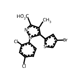 Cc1c(C(=O)O)nn(-c2ccc(Cl)cc2Cl)c1-c1cc(Br)cs1